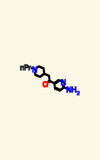 CCCN1CCC(CC(=O)c2ccc(N)nc2)CC1